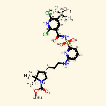 CC(C)(C)OC(=O)N1C[C@@H](CCCNc2cccc(S(=O)(=O)NC(=O)c3cc([Si](C)(C)C)c(Cl)nc3Cl)n2)CC1(C)C